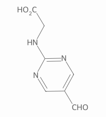 O=Cc1cnc(NCC(=O)O)nc1